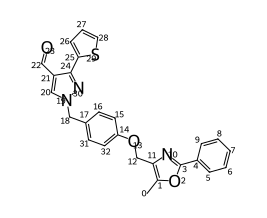 Cc1oc(-c2ccccc2)nc1COc1ccc(Cn2cc(C=O)c(-c3cccs3)n2)cc1